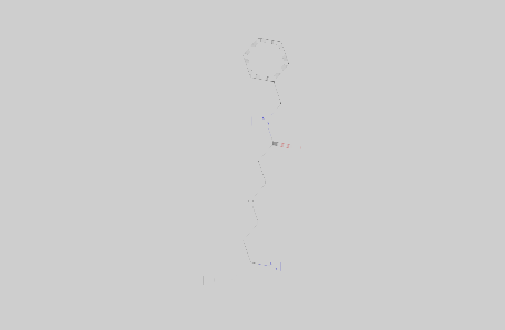 N[C@@H](CC[Se]CCC(=O)NCc1ccccc1)C(=O)O